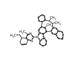 CCC1CC=Cc2nc(-n3c4ccccc4c4c5c(C)c(cc43)-c3ccccc3C(C)C(C)c3cc4ccccc4cc3-5)nc(C)c21